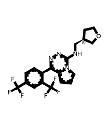 FC(F)(F)c1ccc(-c2nnc(NC[C@H]3CCOC3)n3cccc23)c(C(F)(F)F)c1